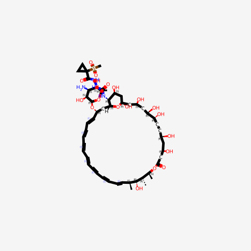 C[C@@H]1[C@H](O)[C@@H](C)/C=C/C=C/C=C/C=C/C=C/C=C/C=C/[C@H](O[C@@H]2O[C@H](C)[C@@H](O)[C@H](N)[C@@H]2O)C[C@@H]2O[C@](O)(C[C@@H](O)C[C@@H](O)[C@H](O)CC[C@@H](O)C[C@@H](O)CC(=O)O[C@H]1C)C[C@H](O)[C@H]2NC(=O)NNC(=O)C1(S(C)(=O)=O)CC1